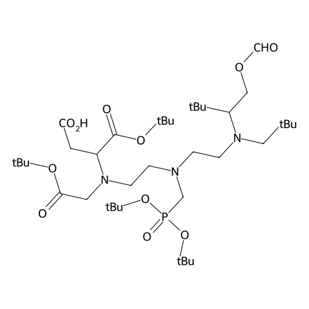 CC(C)(C)CN(CCN(CCN(CC(=O)OC(C)(C)C)C(CC(=O)O)C(=O)OC(C)(C)C)CP(=O)(OC(C)(C)C)OC(C)(C)C)C(COC=O)C(C)(C)C